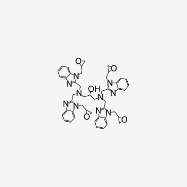 OC(CN(Cc1nc2ccccc2n1CC1CO1)Cc1nc2ccccc2n1CC1CO1)CN(Cc1nc2ccccc2n1CC1CO1)Cc1nc2ccccc2n1CC1CO1